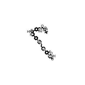 CC(C)(C)c1noc(C(=O)NCc2ccc(-c3n[nH]c4ncc(-c5ccc(N6CCN(CCC7CCN(c8ccc(N9CCC(=O)NC9=O)c(F)c8)CC7)CC6)cc5)cc34)cc2F)n1